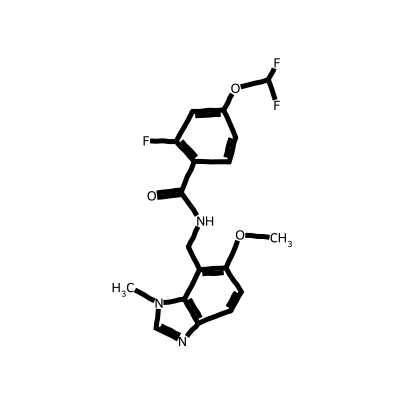 COc1ccc2ncn(C)c2c1CNC(=O)c1ccc(OC(F)F)cc1F